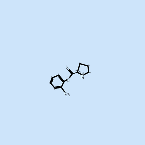 Cc1ccccc1NC(=O)[C@H]1CCCN1